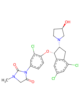 CN1CC(=O)N(c2ccc(O[C@H]3c4cc(Cl)cc(Cl)c4C[C@H]3N3CC[C@@H](O)C3)c(Cl)c2)C1=O